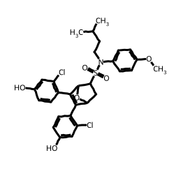 COc1ccc(N(CCC(C)C)S(=O)(=O)C2CC3OC2C(c2ccc(O)cc2Cl)=C3c2ccc(O)cc2Cl)cc1